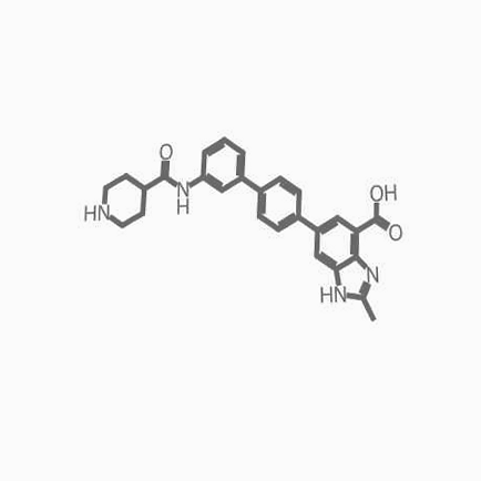 Cc1nc2c(C(=O)O)cc(-c3ccc(-c4cccc(NC(=O)C5CCNCC5)c4)cc3)cc2[nH]1